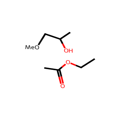 CCOC(C)=O.COCC(C)O